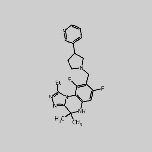 CCc1nnc2n1-c1c(cc(F)c(CN3CCC(c4cccnc4)C3)c1F)NC2(C)C